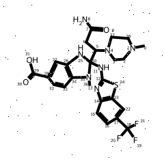 CN1CCN(C(CC(N)=O)C2(Nc3nc4ccc(C(F)(F)F)cc4s3)Nc3cc(C(=O)O)ccc3N2C)CC1